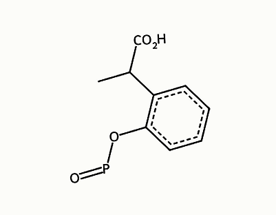 CC(C(=O)O)c1ccccc1OP=O